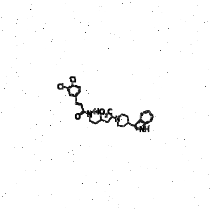 O=C(O)C(CC1CCN(C(=O)/C=C/c2ccc(Cl)c(Cl)c2)CC1)N1CCC(c2c[nH]c3ccccc23)CC1